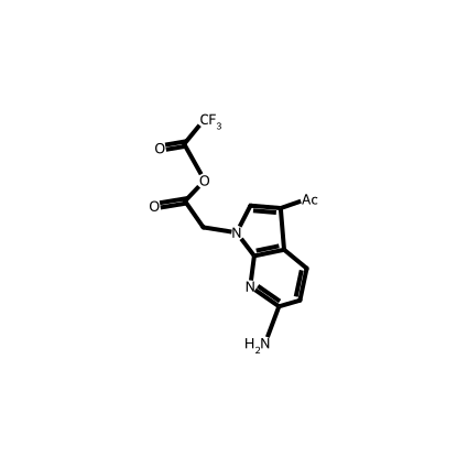 CC(=O)c1cn(CC(=O)OC(=O)C(F)(F)F)c2nc(N)ccc12